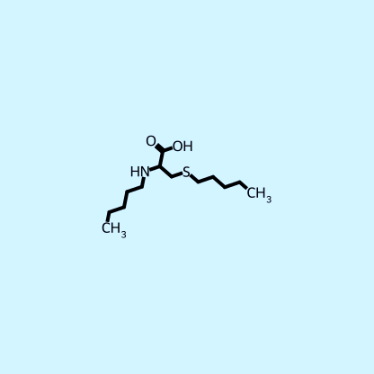 CCCCCNC(CSCCCCC)C(=O)O